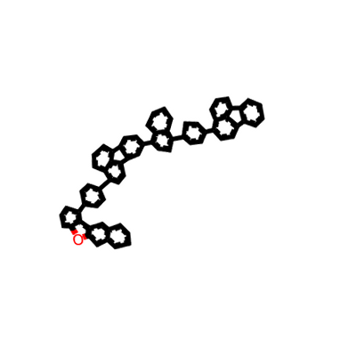 c1ccc2c(c1)-c1cccc3c(-c4ccc(-c5ccc(-c6ccc7c(c6)-c6ccc(-c8ccc(-c9cccc%10oc%11cc%12ccccc%12cc%11c9%10)cc8)c8cccc-7c68)c6ccccc56)cc4)ccc-2c13